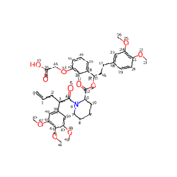 C=CCC(C(=O)N1CCCCC1C(=O)O[C@H](CCc1ccc(OC)c(OC)c1)c1cccc(OCC(=O)O)c1)c1cc(OC)c(OC)c(OC)c1